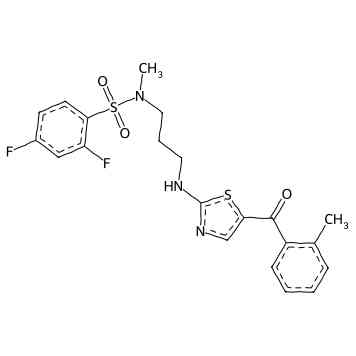 Cc1ccccc1C(=O)c1cnc(NCCCN(C)S(=O)(=O)c2ccc(F)cc2F)s1